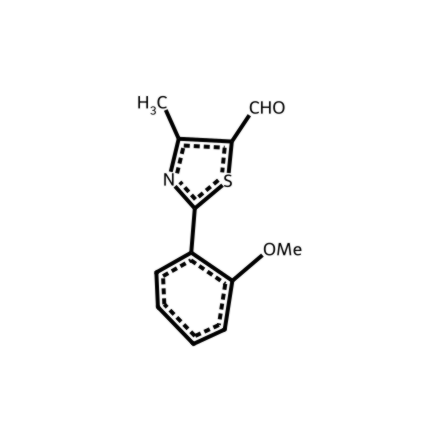 COc1ccccc1-c1nc(C)c(C=O)s1